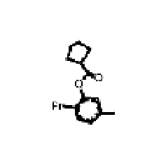 Cc1ccc(C(C)C)c(OC(=O)C2CCCC2)c1